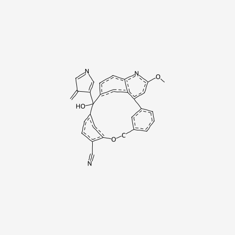 C=C1C=NC=C1C1(O)c2ccc(C#N)c(c2)OCc2cccc(c2)-c2cc(OC)nc3ccc1cc23